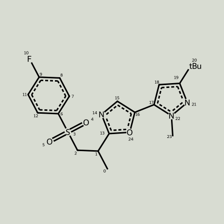 CC(CS(=O)(=O)c1ccc(F)cc1)c1ncc(-c2cc(C(C)(C)C)nn2C)o1